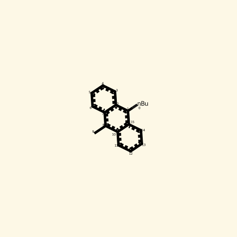 CCCCc1c2ccccc2c(C)c2ccccc12